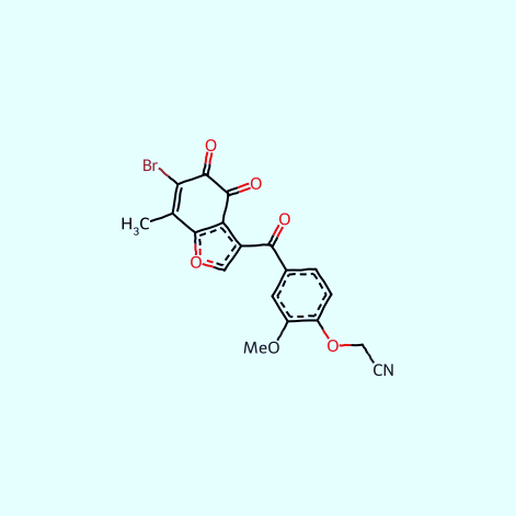 COc1cc(C(=O)c2coc3c2C(=O)C(=O)C(Br)=C3C)ccc1OCC#N